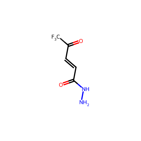 NNC(=O)C=CC(=O)C(F)(F)F